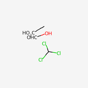 CC(=O)O.ClC(Cl)Cl.O=CO